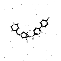 Fc1ccc(-c2ccc(N[C@@H]3[C@@H]4CN(CC5CCOCC5)C[C@@H]43)nn2)cc1